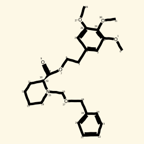 COc1cc(CCOC(=O)[C@@H]2CCCCN2COCc2ccccc2)cc(OC)c1OC